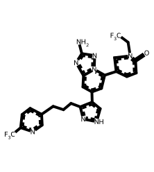 Nc1nc2cc(-c3c[nH]nc3CCCc3ccc(C(F)(F)F)nc3)cc(-c3ccc(=O)n(CC(F)(F)F)c3)n2n1